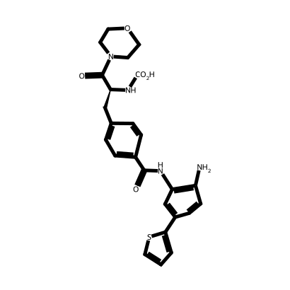 Nc1ccc(-c2cccs2)cc1NC(=O)c1ccc(C[C@H](NC(=O)O)C(=O)N2CCOCC2)cc1